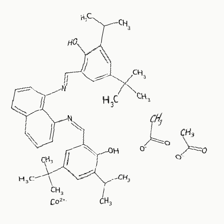 CC(=O)[O-].CC(=O)[O-].CC(C)c1cc(C(C)(C)C)cc(C=Nc2cccc3cccc(N=Cc4cc(C(C)(C)C)cc(C(C)C)c4O)c23)c1O.[Co+2]